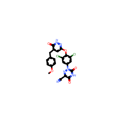 COc1ccc(Cc2cc(Oc3c(Cl)cc(-n4nc(C#N)c(=O)[nH]c4=O)cc3Cl)n[nH]c2=O)cc1